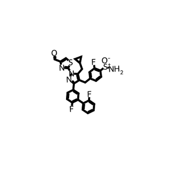 N[S+]([O-])c1ccc(Cc2c(-c3ccc(F)c(-c4ccccc4F)c3)nn(-c3nc(C=O)cs3)c2CC2CC2)cc1F